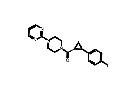 O=C([C@H]1CC1c1ccc(F)cc1)N1CCN(c2ncccn2)CC1